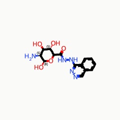 N[C@H]1C(O)[C@H](O)C(C(=O)NNc2nncc3ccccc23)O[C@H]1O